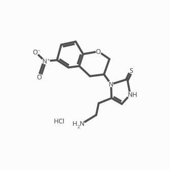 Cl.NCCc1c[nH]c(=S)n1C1COc2ccc([N+](=O)[O-])cc2C1